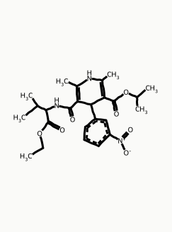 CCOC(=O)C(NC(=O)C1=C(C)NC(C)=C(C(=O)OC(C)C)C1c1cccc([N+](=O)[O-])c1)C(C)C